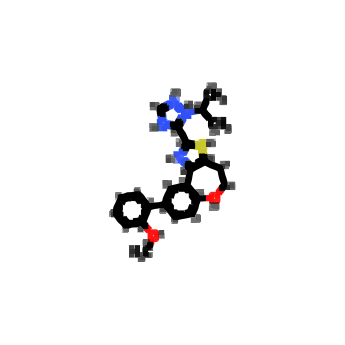 COc1ccccc1-c1ccc2c(c1)-c1nc(-c3ncnn3C(C)C)sc1CCO2